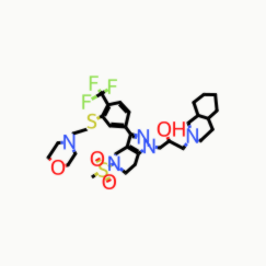 CS(=O)(=O)N1CCc2c(c(-c3ccc(C(F)(F)F)c(SCCN4CCOCC4)c3)nn2CC(O)CN2CCC3CCCCC3C2)C1